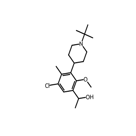 COc1c(C(C)O)cc(Cl)c(C)c1C1CCN(C(C)(C)C)CC1